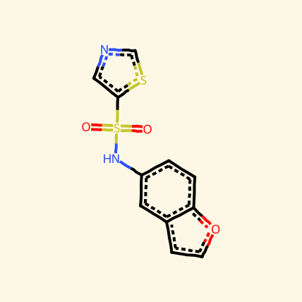 O=S(=O)(Nc1ccc2occc2c1)c1cncs1